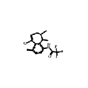 CC1CC=C(Cl)c2c(I)ccc(NC(=O)C(F)(F)F)c2C1C